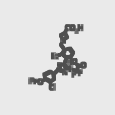 CCc1c(CN2CC(C(=O)O)C2)cccc1-c1cnc(-c2ccc(OC(C)C)c(Cl)c2)s1.O=C(O)C(F)(F)F